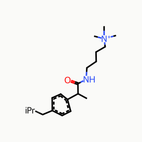 CC(C)Cc1ccc(C(C)C(=O)NCCCC[N+](C)(C)C)cc1